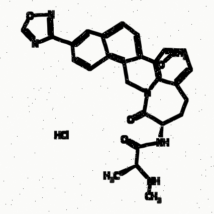 CN[C@@H](C)C(=O)N[C@H]1CCc2ccccc2N(Cc2c(OC)ccc3cc(-c4ncon4)ccc23)C1=O.Cl